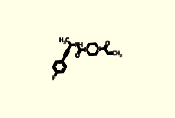 C=CC(=O)N1CCN(C(=O)NC(C)C#Cc2ccc(F)cc2)CC1